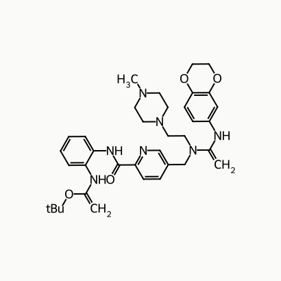 C=C(Nc1ccccc1NC(=O)c1ccc(CN(CCN2CCN(C)CC2)C(=C)Nc2ccc3c(c2)OCCO3)cn1)OC(C)(C)C